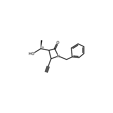 C#CC1C([C@H](C)O)C(=O)N1Cc1ccccc1